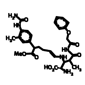 COC(=O)C(CCC=CNC(C(C)C(=O)NC(=O)COc1ccccc1)[C@H](N)C(=O)O)c1ccc(NC(N)=O)c(C)c1